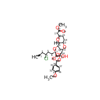 C#CCC(Cl)CC[C@@]12OC3CC(OC4CCC(CC(=O)OC)O[C@@H]43)C(O1)[C@@]1(O)OC(c3ccc(OC)cc3)OC21